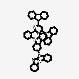 c1ccc2c(c1)-c1ccccc1C2c1cc(-n2c3ccccc3c3ccccc32)nc(-c2ccccc2-n2c3ccccc3c3cc(-n4c5ccccc5n5c6ccccc6nc45)ccc32)n1